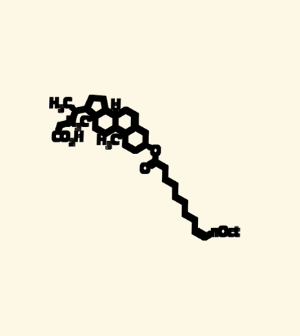 CCCCCCCC/C=C\CCCCCCCC(=O)O[C@H]1CC[C@@]2(C)C(=CC[C@H]3C4CCC([C@H](C)CCC(=O)O)[C@@]4(C)CCC32)C1